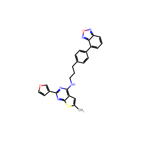 Cc1cc2c(NCCCc3ccc(-c4cccc5nonc45)cc3)nc(-c3ccoc3)nc2s1